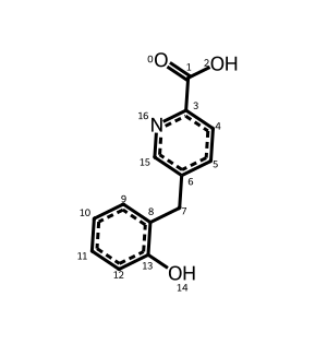 O=C(O)c1ccc(Cc2ccccc2O)cn1